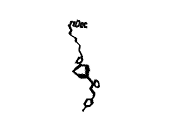 CCCCCCCCCCCCCCCCCCOc1ccc(C(=O)C=Cc2ccc(C)cc2)cc1